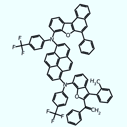 C=C(c1ccccc1)c1oc2c(N(c3ccc(C(F)(F)F)cc3)c3ccc4ccc5c(N(c6ccc(C(F)(F)F)cc6)c6cccc7c6oc6c(-c8ccccc8)cc8ccccc8c67)ccc6ccc3c4c65)cccc2c1-c1ccccc1C